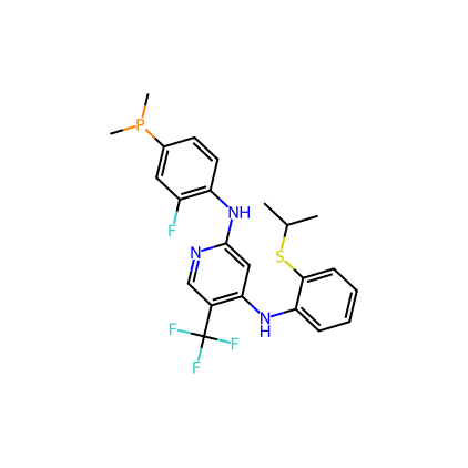 CC(C)Sc1ccccc1Nc1cc(Nc2ccc(P(C)C)cc2F)ncc1C(F)(F)F